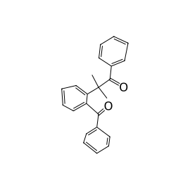 CC(C)(C(=O)c1ccccc1)c1ccccc1C(=O)c1ccccc1